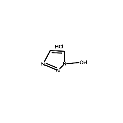 Cl.On1ccnn1